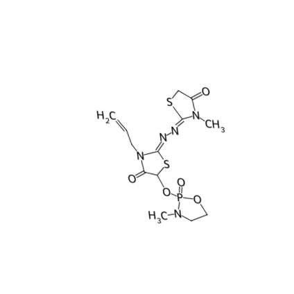 C=CCN1C(=O)C(OP2(=O)OCCN2C)SC1=NN=C1SCC(=O)N1C